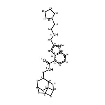 O=C(NCC12CC3CC4CC(C1)C4(C3)C2)c1cccc2nc(CNCCN3CCCC3)cn12